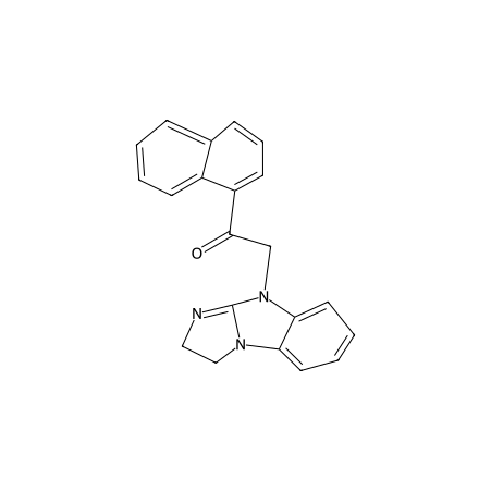 O=C(CN1C2=NCCN2c2ccccc21)c1cccc2ccccc12